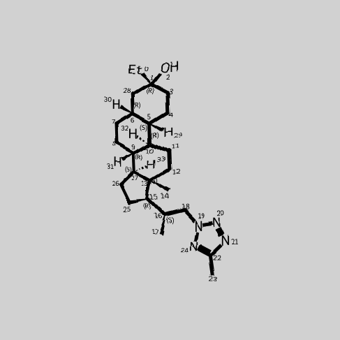 CC[C@@]1(O)CC[C@H]2[C@H](CC[C@@H]3[C@@H]2CC[C@]2(C)[C@@H]([C@H](C)Cn4nnc(C)n4)CC[C@@H]32)C1